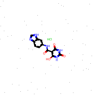 Cl.O=C(Nc1ccc2nc[nH]c2c1)c1c(O)[nH]c(=O)[nH]c1=O